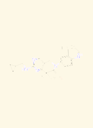 CC/C=N\c1ccc(N2Cc3cnc(NCC4CC4)nc3C(C)(CCC)C2=C=O)cc1C